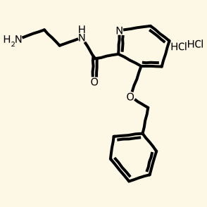 Cl.Cl.NCCNC(=O)c1ncccc1OCc1ccccc1